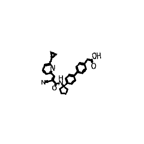 N#C/C(=C\c1cccc(C2CC2)n1)C(=O)NC1(c2ccc(-c3ccc(CC(=O)O)cc3)cc2)CCCC1